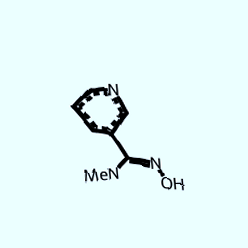 CN/C(=N\O)c1cccnc1